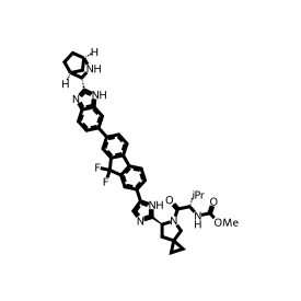 COC(=O)N[C@H](C(=O)N1CC2(CC2)C[C@H]1c1ncc(-c2ccc3c(c2)C(F)(F)c2cc(-c4ccc5nc([C@H]6N[C@@H]7CC[C@H]6C7)[nH]c5c4)ccc2-3)[nH]1)C(C)C